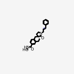 O=C(NO)c1ccc2c(c1)CC[C@@]1(CCN(C/C=C/c3ccccc3)C1=O)C2